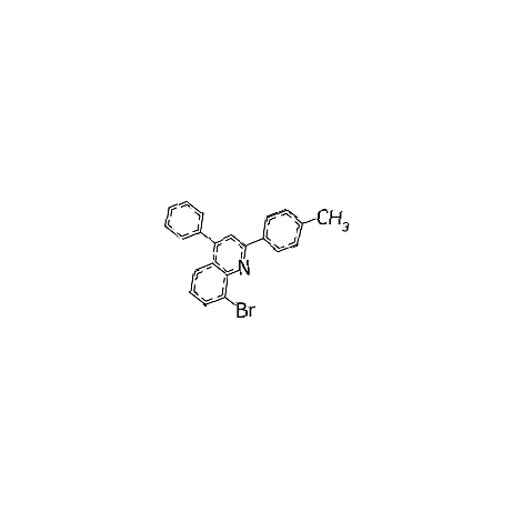 Cc1ccc(-c2cc(-c3ccccc3)c3cccc(Br)c3n2)cc1